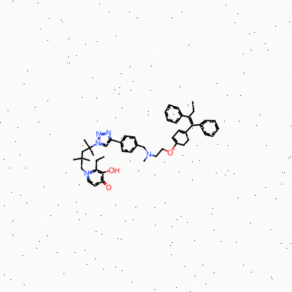 CC/C(=C(/C1=CC=C(OCCN(C)Cc2ccc(-c3cn(C(C)(C)CC(C)(C)Cn4ccc(=O)c(O)c4CC)nn3)cc2)CC1)c1ccccc1)c1ccccc1